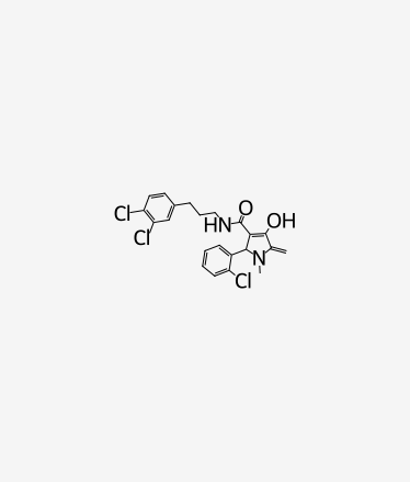 C=C1C(O)=C(C(=O)NCCCc2ccc(Cl)c(Cl)c2)C(c2ccccc2Cl)N1C